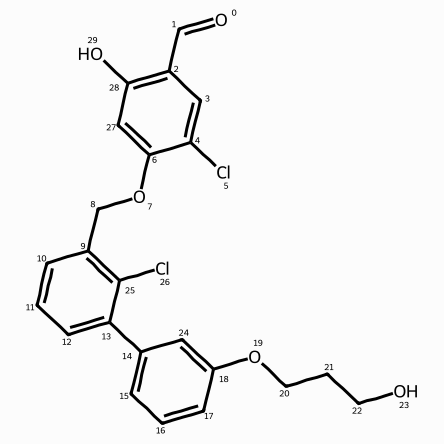 O=Cc1cc(Cl)c(OCc2cccc(-c3cccc(OCCCO)c3)c2Cl)cc1O